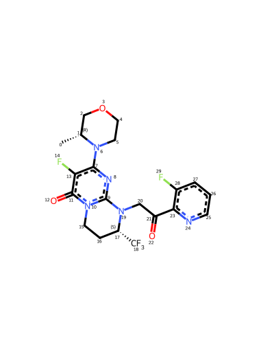 C[C@@H]1COCCN1c1nc2n(c(=O)c1F)CC[C@@H](C(F)(F)F)N2CC(=O)c1ncccc1F